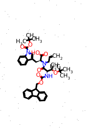 C=CCN(C(=O)[C@@H](NC(=O)OCC1c2ccccc2-c2ccccc21)C(C)OC(C)(C)C)[C@@H](Cc1cn(C(=O)OC(C)(C)C)c2ccccc12)C(=O)O